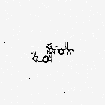 C=CC(=O)Nc1cccc(Oc2nc(Nc3ccc(CN4CCC(N(C)C)C4)cc3)nc3ccsc23)c1